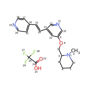 CN1CCCCC1COc1cncc(C=Cc2ccncc2)c1.O=C(O)C(F)(F)F